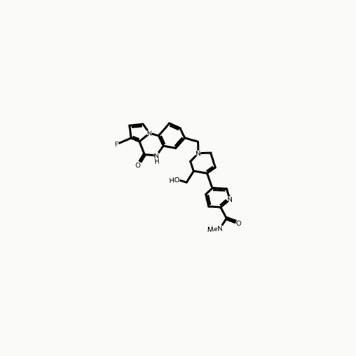 CNC(=O)c1ccc(C2=CCN(Cc3ccc4c(c3)[nH]c(=O)c3c(F)ccn34)CC2CO)cn1